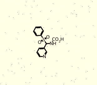 O=C(O)NC(c1cccnc1)S(=O)(=O)c1ccccc1